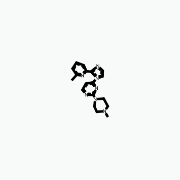 Cc1cccc(-c2nccn2-c2ccnc(N3CCN(C)CC3)n2)n1